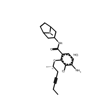 CCC#CC[C@H](C)Oc1c(C(=O)NC2CC3CCC(C2)N3C)ccc(N)c1Cl.Cl